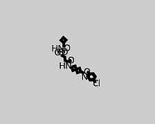 O=C(CCCS(=O)(=O)NC(=O)C1CCC1)NC1CC2(C1)CC(c1nc3cc(Cl)ccc3o1)C2